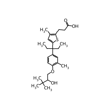 CCC(CC)(c1ccc(OCC(O)C(C)(C)C)c(C)c1)c1cc(C)c(CCC(=O)O)s1